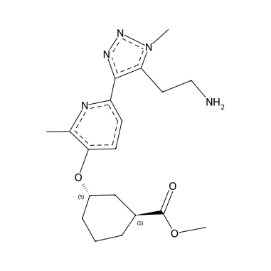 COC(=O)[C@H]1CCC[C@H](Oc2ccc(-c3nnn(C)c3CCN)nc2C)C1